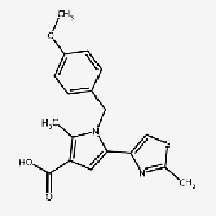 COc1ccc(Cn2c(-c3csc(C)n3)cc(C(=O)O)c2C)cc1